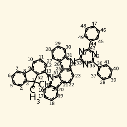 CC1(C)c2ccccc2-c2cccc(-n3c4ccccc4c4ccc5c(c6ccccc6n5-c5nc(-c6ccccc6)nc(-c6ccccc6)n5)c43)c21